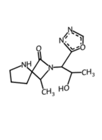 CC(O)C(c1nnco1)N1C(=O)C2(CCCN2)C1C